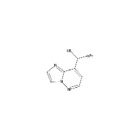 CCCC(CC)c1ccnn2ccnc12